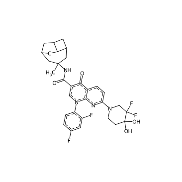 CC1(NC(=O)c2cn(-c3ccc(F)cc3F)c3nc(N4CCC(O)(O)C(F)(F)C4)ccc3c2=O)CC2CC3CC(C1)C3C2